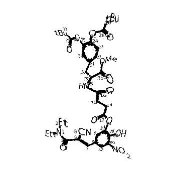 CCN(CC)C(=O)/C(C#N)=C/c1cc(OC(=O)CCC(=O)N[C@@H](Cc2ccc(OC(=O)C(C)(C)C)c(OC(=O)C(C)(C)C)c2)C(=O)OC)c(O)c([N+](=O)[O-])c1